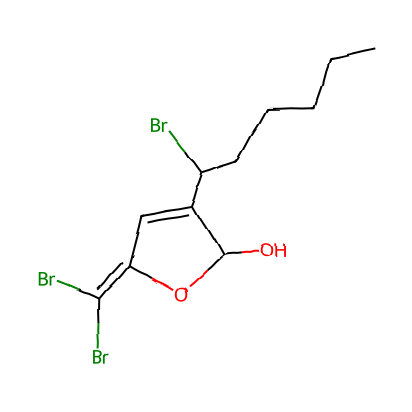 CCCCCC(Br)C1=CC(=C(Br)Br)OC1O